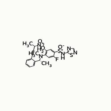 CC(N)C#Cc1ccccc1[C@@H](C)N(C)c1cc(F)c([S+]([O-])Nc2ncns2)cc1OC=O